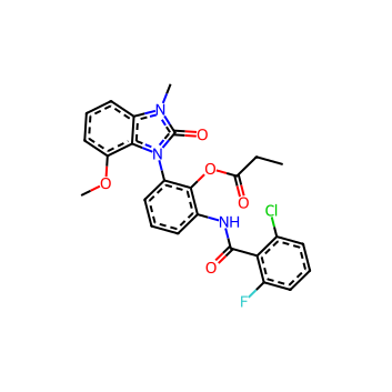 CCC(=O)Oc1c(NC(=O)c2c(F)cccc2Cl)cccc1-n1c(=O)n(C)c2cccc(OC)c21